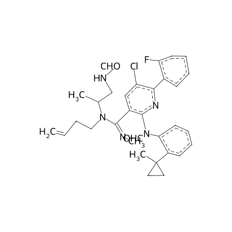 C=CCCN(/C(=N/C)c1cc(Cl)c(-c2ccccc2F)nc1N(C=O)c1ccccc1C1(C)CC1)C(C)CNC=O